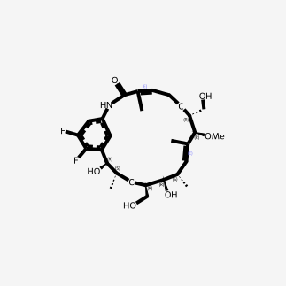 CO[C@H]1/C(C)=C/[C@H](C)[C@@H](O)[C@@H](CO)C[C@H](C)[C@@H](O)c2cc(cc(F)c2F)NC(=O)/C(C)=C/CC[C@@H]1CO